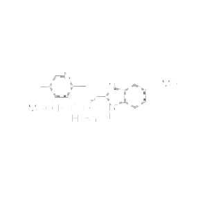 COc1ccc2[nH]c([S@@+]([O-])Cc3ncc(C)c(OC)c3C)nc2c1.[BaH2]